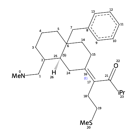 CNCC1CCCC2(Cc3ccccc3)CC/C(=C(/CCSC)C(=O)C(C)C)C[C@@H]12